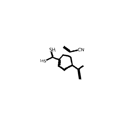 C=C(C)C1CC=C(C(S)S)CC1.C=CC#N